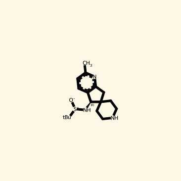 Cc1ccc2c(n1)CC1(CCNCC1)[C@H]2N[S+]([O-])C(C)(C)C